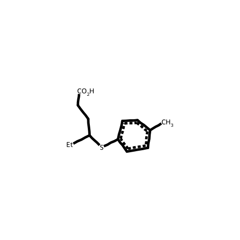 CCC(CCC(=O)O)Sc1ccc(C)cc1